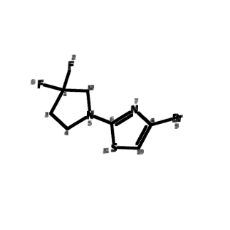 FC1(F)CCN(c2nc(Br)cs2)C1